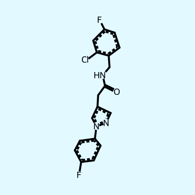 O=C(Cc1cnn(-c2ccc(F)cc2)c1)NCc1ccc(F)cc1Cl